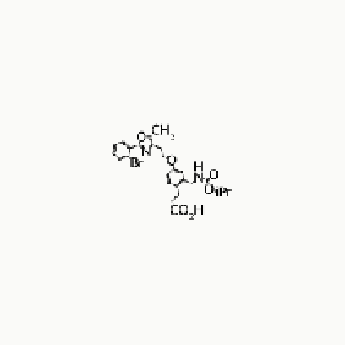 Cc1oc(-c2ccccc2Br)nc1CCOc1ccc(CCC(=O)O)c(CNC(=O)OC(C)C)c1